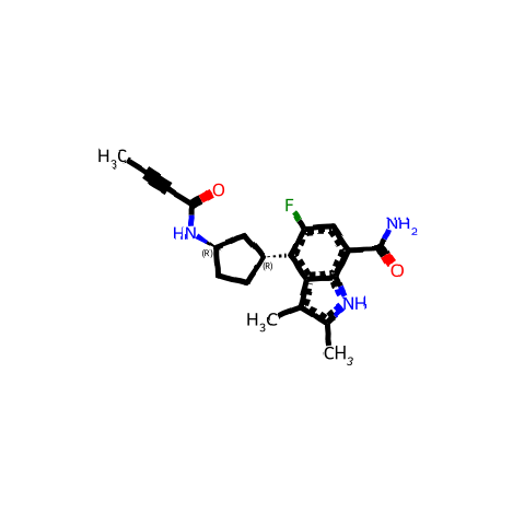 CC#CC(=O)N[C@@H]1CC[C@@H](c2c(F)cc(C(N)=O)c3[nH]c(C)c(C)c23)C1